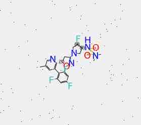 Cc1cnc([C@@H]2CC(N3C[C@@H](F)[C@H](NS(=O)(=O)N(C)C)C3)=NO2)c(-c2c(F)cc(F)cc2F)c1